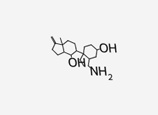 C=C1CCC2C(O)C(C3(CC)CCC(O)CC3CN)CCC12C